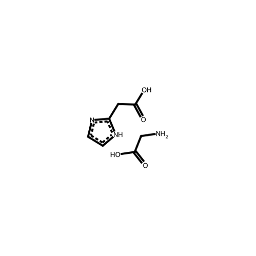 NCC(=O)O.O=C(O)Cc1ncc[nH]1